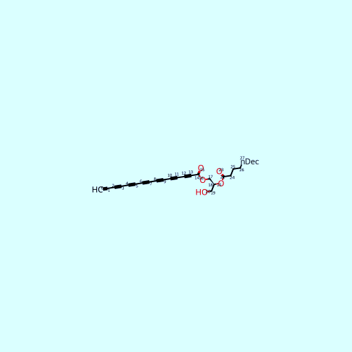 C#CC#CC#CC#CC#CC#CC#CC(=O)OC[C@H](CO)OC(=O)CCCCCCCCCCCCC